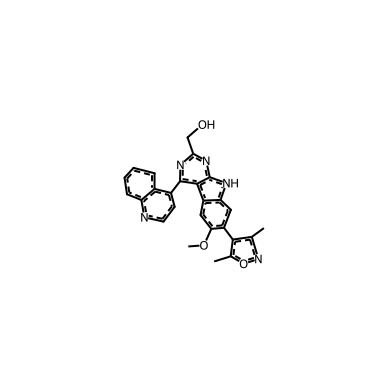 COc1cc2c(cc1-c1c(C)noc1C)[nH]c1nc(CO)nc(-c3ccnc4ccccc34)c12